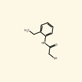 CCc1ccccc1NC(=O)CS